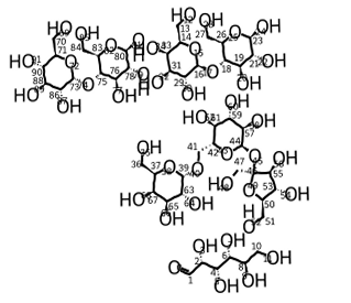 O=C[C@H](O)[C@@H](O)[C@H](O)[C@H](O)CO.OC[C@H]1O[C@@H](O[C@H]2[C@H](O)[C@@H](O)[C@H](O)O[C@@H]2CO)[C@H](O)[C@@H](O)[C@H]1O.OC[C@H]1O[C@H](OC[C@H]2O[C@H](O[C@]3(CO)O[C@H](CO)[C@@H](O)[C@@H]3O)[C@H](O)[C@@H](O)[C@@H]2O)[C@H](O)[C@@H](O)[C@H]1O.OC[C@H]1O[C@H](O[C@H]2[C@H](O)[C@@H](O)[C@H](O)O[C@@H]2CO)[C@H](O)[C@@H](O)[C@@H]1O